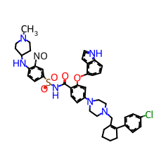 CN1CCC(Nc2ccc(S(=O)(=O)NC(=O)c3ccc(N4CCN(CC5=C(c6ccc(Cl)cc6)CCCC5)CC4)cc3Oc3cccc4[nH]ccc34)cc2N=O)CC1